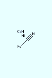 N#[C][Fe].[CsH].[Ni]